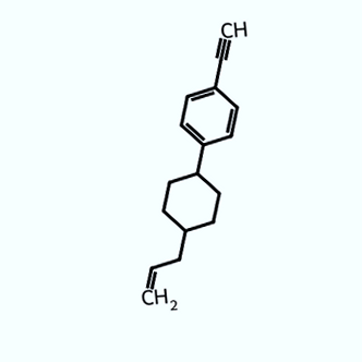 C#Cc1ccc(C2CCC(CC=C)CC2)cc1